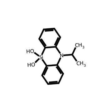 CC(C)N1c2ccccc2[Si](O)(O)c2ccccc21